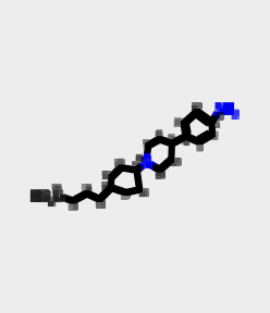 Nc1ccc(C2CCN(C3CCC(CCCC(=O)O)CC3)CC2)cc1